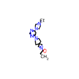 C=CC(=O)N1CC2(CCN(c3cc(N4CCN(CC)CC4)ncn3)CC2)C1